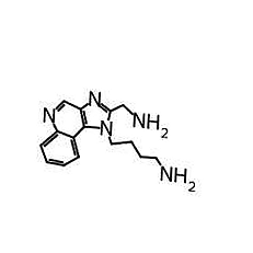 NCCCCn1c(CN)nc2cnc3ccccc3c21